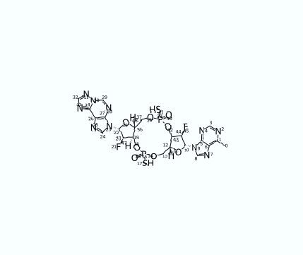 Cc1ncnc2c1ncn2[C@@H]1O[C@@H]2COP(=O)(S)O[C@H]3[C@@H](F)[C@H](n4cnc5c4ncn4ncnc54)O[C@@H]3COP(=O)(S)OC2[C@H]1F